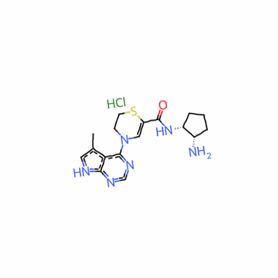 Cc1c[nH]c2ncnc(N3C=C(C(=O)N[C@@H]4CCC[C@@H]4N)SCC3)c12.Cl